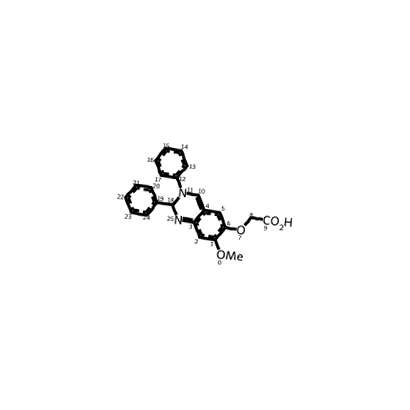 COc1cc2c(cc1OCC(=O)O)=CN(c1ccccc1)C(c1ccccc1)N=2